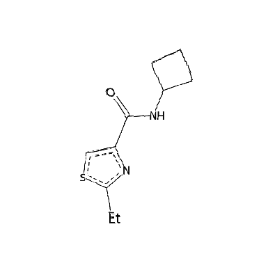 CCc1nc(C(=O)NC2CCC2)cs1